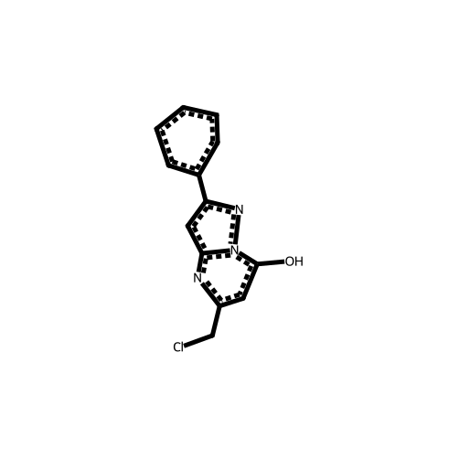 Oc1cc(CCl)nc2cc(-c3ccccc3)nn12